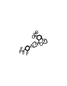 CS(=O)(=O)c1ccc(N2CCCC2)c(C(=O)N2CCN(c3ccc(C(F)(F)F)c(F)c3)CC2)c1